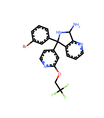 NC1NC(c2cccc(Br)c2)(c2ccnc(OCC(F)(F)F)c2)c2cccnc21